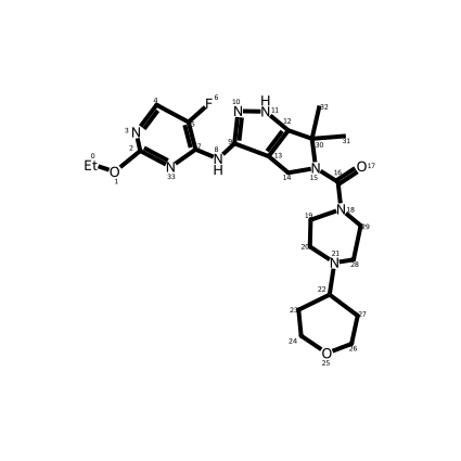 CCOc1ncc(F)c(Nc2n[nH]c3c2CN(C(=O)N2CCN(C4CCOCC4)CC2)C3(C)C)n1